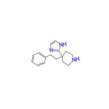 c1ccc(CCC2(c3ncc[nH]3)CCNCC2)cc1